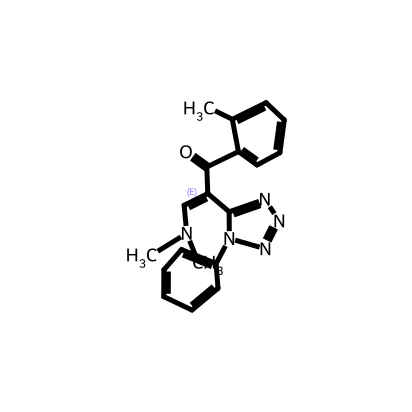 Cc1ccccc1C(=O)/C(=C/N(C)C)c1nnnn1-c1ccccc1